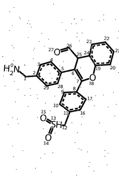 NCc1ccc(C2=C(c3ccc(C[SH](=O)=O)cc3)Oc3ccccc3C2C=O)cc1